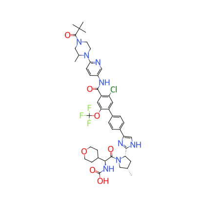 CC1CN(C(=O)C(C)(C)C)CCN1c1ccc(NC(=O)c2cc(OC(F)(F)F)c(-c3ccc(-c4c[nH]c([C@@H]5C[C@H](C)CN5C(=O)[C@@H](NC(=O)O)C5CCOCC5)n4)cc3)cc2Cl)cn1